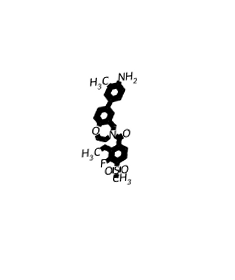 CCc1c(C(=O)N2CCOc3ccc(-c4ccc(N)c(C)c4)cc3C2)ccc(S(C)(=O)=O)c1F